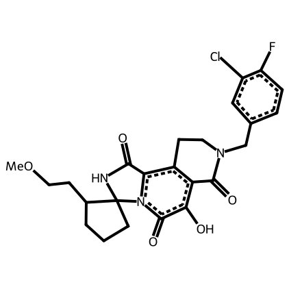 COCCC1CCCC12NC(=O)c1c3c(c(O)c(=O)n12)C(=O)N(Cc1ccc(F)c(Cl)c1)CC3